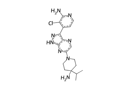 CC(C)C1(N)CCN(c2cnc3c(-c4ccnc(N)c4Cl)n[nH]c3n2)CC1